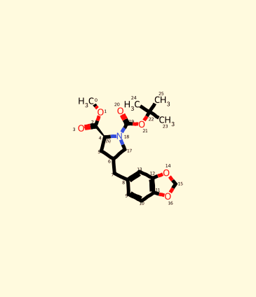 COC(=O)[C@@H]1CC(Cc2ccc3c(c2)OCO3)CN1C(=O)OC(C)(C)C